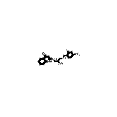 CCCC(CNCc1ccc(C(F)(F)F)cc1F)CNc1cc(=O)c2ccccc2[nH]1